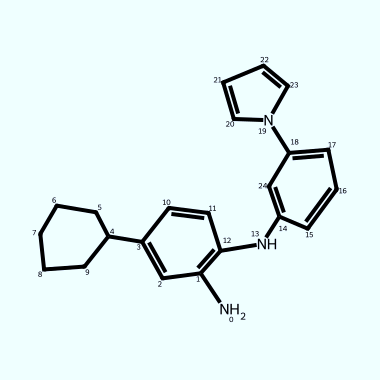 Nc1cc(C2CCCCC2)ccc1Nc1cccc(-n2cccc2)c1